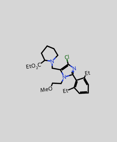 CCOC(=O)C1CCCCN1Cc1c(Cl)nc(-c2c(CC)cccc2CC)n1CCOC